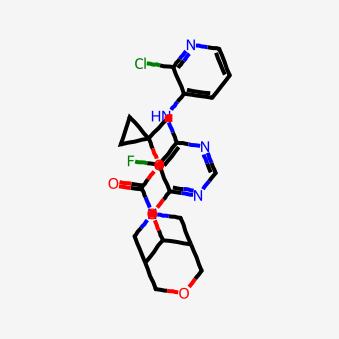 CC1(OC(=O)N2CC3COCC(C2)C3Oc2ncnc(Nc3cccnc3Cl)c2F)CC1